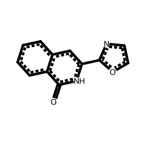 O=c1[nH]c(-c2ncco2)cc2ccccc12